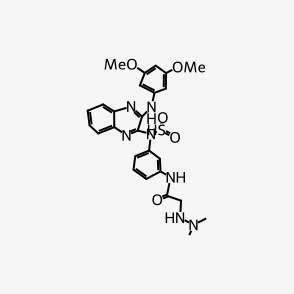 COc1cc(Nc2nc3ccccc3nc2N(c2cccc(NC(=O)CNN(C)C)c2)[SH](=O)=O)cc(OC)c1